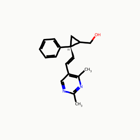 Cc1ncc(C=C[C@@]2(c3ccccc3)CC2CO)c(C)n1